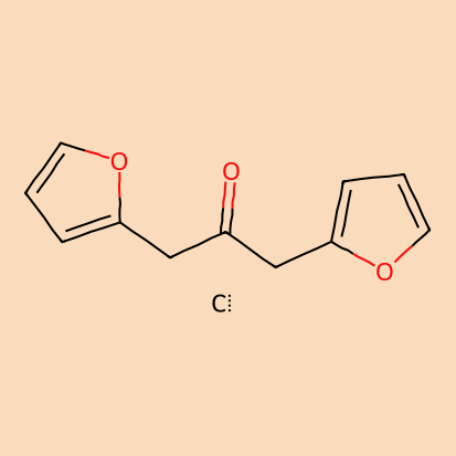 O=C(Cc1ccco1)Cc1ccco1.[C]